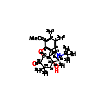 [2H]c1c([2H])c(OC)c2c3c1C[C@@]1([2H])N(C([2H])([2H])[2H])CC[C@@]34C(O2)C(=O)C([2H])([2H])C[C@]41O